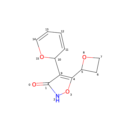 O=c1[nH]oc(C2CCO2)c1C1C=CC=CO1